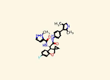 CC1=NCC(C)=C1c1ccc(NC(=O)[C@@H](NC(=O)c2ccnn2C)C2c3ccc(F)cc3OCC23CC3)cc1